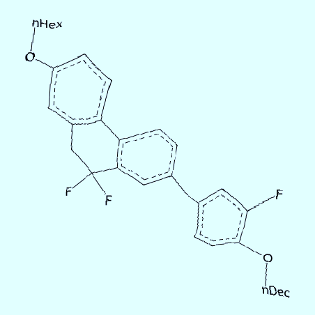 CCCCCCCCCCOc1ccc(-c2ccc3c(c2)C(F)(F)Cc2cc(OCCCCCC)ccc2-3)cc1F